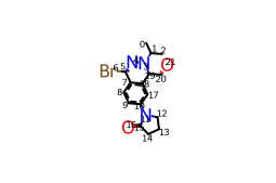 CC(C)N1N=C(Br)c2ccc(N3CCCC3=O)cc2C1C=O